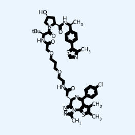 Cc1ncsc1-c1ccc([C@H](C)NC(=O)[C@@H]2C[C@@H](O)CN2C(=O)[C@@H](NC(=O)COCCCOCCNC(=O)C[C@@H]2N=C(c3ccc(Cl)cc3)c3c(sc(C)c3C)-n3c(C)nnc32)C(C)(C)C)cc1